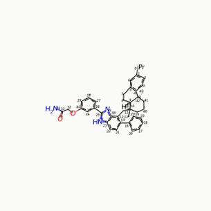 CC(C)c1ccc2c(c1)CC[C@H]1[C@@](C)(Cc3c(-c4ccccc4)ccc4[nH]c(-c5cccc(OCC(N)=O)c5)nc34)CCC[C@]21C